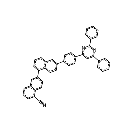 N#Cc1cccc2cc(-c3cccc4cc(-c5ccc(-c6cc(-c7ccccc7)nc(-c7ccccc7)n6)cc5)ccc34)ccc12